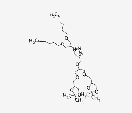 C=CCCCCOCC(COCCCCC=C)n1cc(COC(COCC2COC(C)(C)O2)COCC2COC(C)(C)O2)nn1